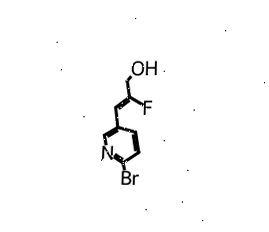 OCC(F)=Cc1ccc(Br)nc1